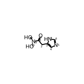 O=C(Cc1cnc[nH]1)N(O)O